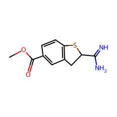 COC(=O)c1ccc2c(c1)CC(C(=N)N)S2